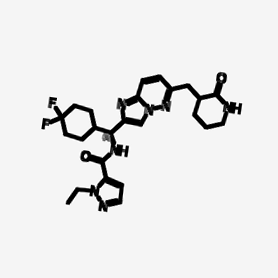 CCn1nccc1C(=O)N[C@H](c1cn2nc(CC3CCCNC3=O)ccc2n1)C1CCC(F)(F)CC1